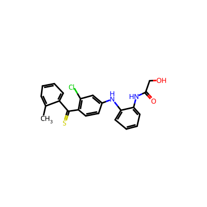 Cc1ccccc1C(=S)c1ccc(Nc2ccccc2NC(=O)CO)cc1Cl